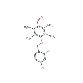 Cc1c(C)c(OCc2ccc(Cl)cc2Cl)c(C)c(C)c1C=O